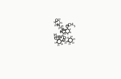 COc1cccc2c(C(=O)Nc3c(C)cccc3OCc3ccccc3)nn(CCN3CCOCC3)c12